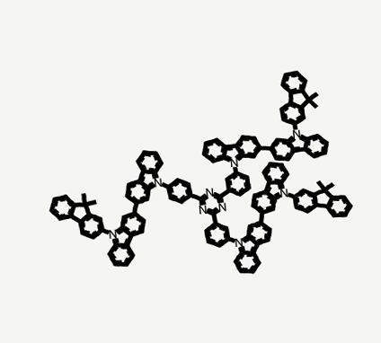 CC1(C)c2ccccc2-c2ccc(-n3c4ccccc4c4ccc(-c5ccc6c7ccccc7n(-c7ccc(-c8nc(-c9cccc(-n%10c%11ccccc%11c%11ccc(-c%12ccc%13c%14ccccc%14n(-c%14ccc%15c(c%14)C(C)(C)c%14ccccc%14-%15)c%13c%12)cc%11%10)c9)nc(-c9cccc(-n%10c%11ccccc%11c%11ccc(-c%12ccc%13c%14ccccc%14n(-c%14ccc%15c(c%14)C(C)(C)c%14ccccc%14-%15)c%13c%12)cc%11%10)c9)n8)cc7)c6c5)cc43)cc21